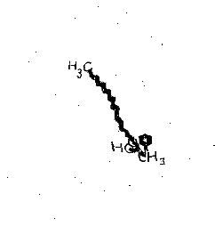 CCCCCCCCCCCCCCCCCCOCC(CO)N(C)Cc1ccccc1